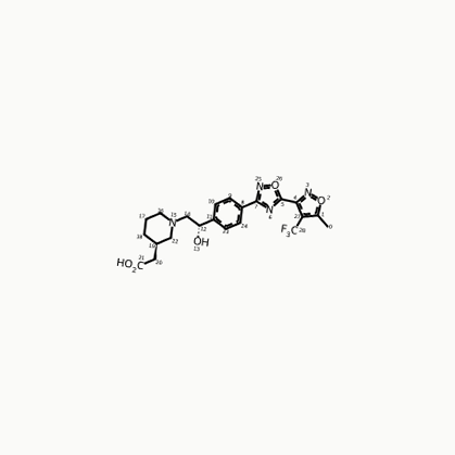 Cc1onc(-c2nc(-c3ccc([C@H](O)CN4CCC[C@H](CC(=O)O)C4)cc3)no2)c1C(F)(F)F